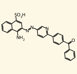 Nc1c(N=Nc2ccc(-c3ccc(C(=O)c4ccccc4)cc3)nc2)cc(S(=O)(=O)O)c2ccccc12